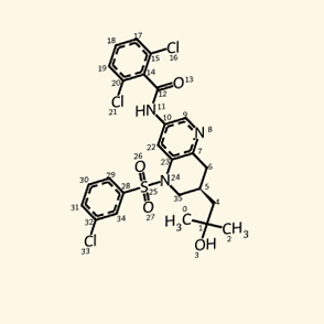 CC(C)(O)C[C@@H]1Cc2ncc(NC(=O)c3c(Cl)cccc3Cl)cc2N(S(=O)(=O)c2cccc(Cl)c2)C1